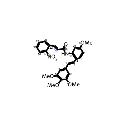 COc1ccc(C=Cc2cc(OC)c(OC)c(OC)c2)c(NC(=O)/C=C/c2ccccc2[N+](=O)[O-])c1